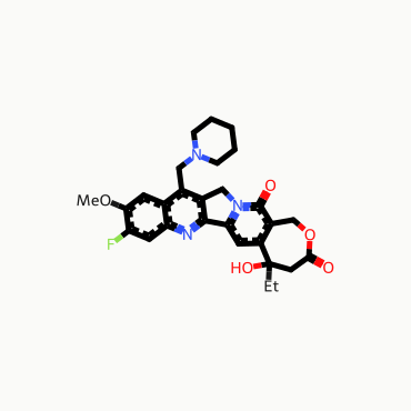 CCC1(O)CC(=O)OCc2c1cc1n(c2=O)Cc2c-1nc1cc(F)c(OC)cc1c2CN1CCCCC1